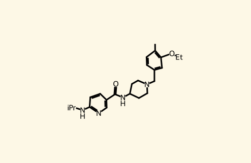 CCOc1cc(CN2CCC(NC(=O)c3ccc(NC(C)C)nc3)CC2)ccc1C